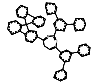 C1=C(c2cc(-c3ccccc3)cc(-c3ccccc3)c2)N=C(c2cc(-c3ccccc3)cc(-c3ccccc3)c2)N=C(c2ccc3c(c2)C2(c4ccccc4-c4ccccc42)c2ccccc2-3)C1